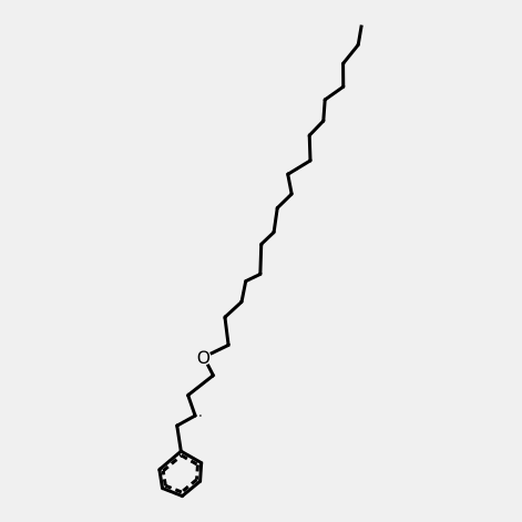 CCCCCCCCCCCCCCCCCCOCC[CH]Cc1ccccc1